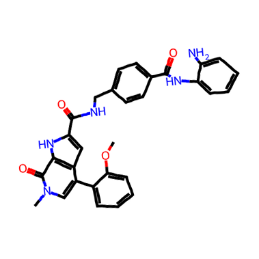 COc1ccccc1-c1cn(C)c(=O)c2[nH]c(C(=O)NCc3ccc(C(=O)Nc4ccccc4N)cc3)cc12